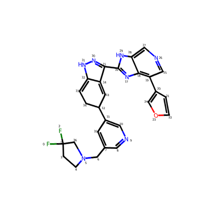 FC1(F)CCN(Cc2cncc(C3C=c4c(-c5nc6c(-c7ccoc7)cncc6[nH]5)n[nH]c4=CC3)c2)C1